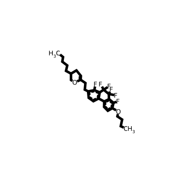 CCCCCC1CC=C(CCc2ccc3c(c2F)C(F)(F)C(F)(F)c2c-3ccc(OCCCC)c2F)OC1